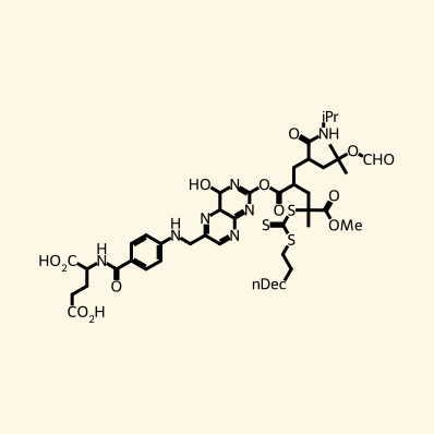 CCCCCCCCCCCCSC(=S)SC(C)(CC(CC(CC(C)(C)OC=O)C(=O)NC(C)C)C(=O)OC1=NC(O)C2N=C(CNc3ccc(C(=O)NC(CCC(=O)O)C(=O)O)cc3)C=NC2=N1)C(=O)OC